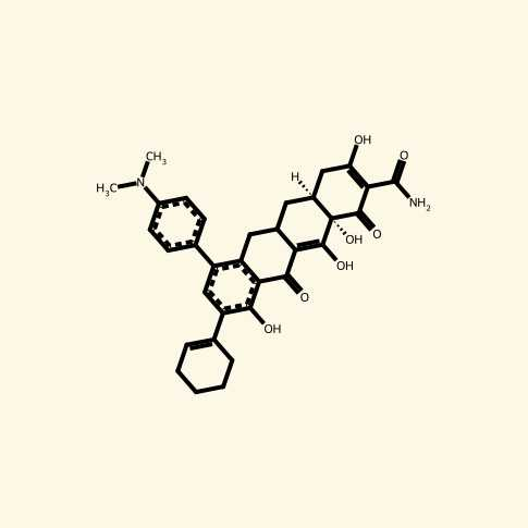 CN(C)c1ccc(-c2cc(C3=CCCCC3)c(O)c3c2CC2C[C@H]4CC(O)=C(C(N)=O)C(=O)[C@@]4(O)C(O)=C2C3=O)cc1